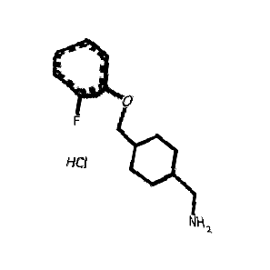 Cl.NCC1CCC(COc2ccccc2F)CC1